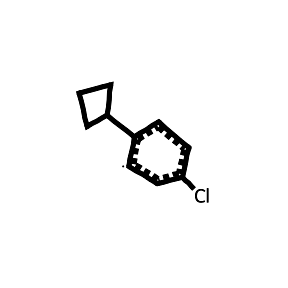 Clc1c[c]c(C2CCC2)cc1